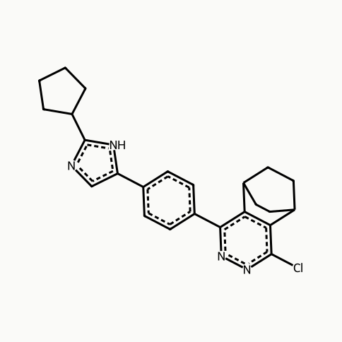 Clc1nnc(-c2ccc(-c3cnc(C4CCCC4)[nH]3)cc2)c2c1C1CCC2CC1